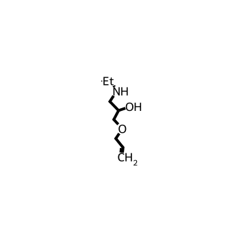 C=CCOCC(O)CN[CH]C